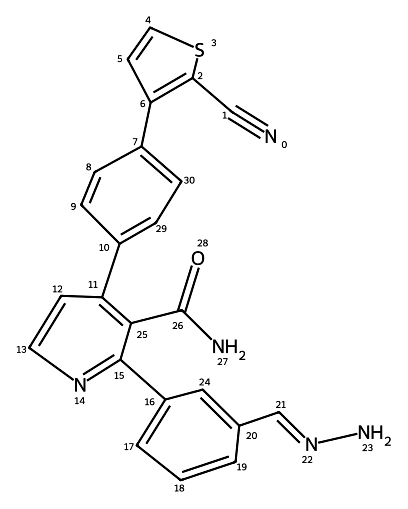 N#Cc1sccc1-c1ccc(-c2ccnc(-c3cccc(C=NN)c3)c2C(N)=O)cc1